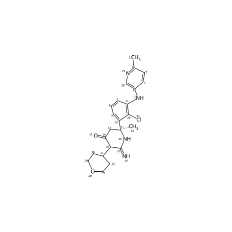 Cc1ccc(Nc2cccc([C@]3(C)CC(=O)C(C4CCOCC4)C(=N)N3)c2Cl)cn1